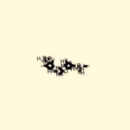 CCNS(=O)(=O)NCc1ccc(Nc2nc(Nc3cc(C)c(S(N)(=O)=O)c(C)c3)ncc2Cl)c(C)c1